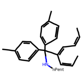 C\C=C/C=C(\C=C/C)C(NCCCCC)(c1ccc(C)cc1)c1ccc(C)cc1